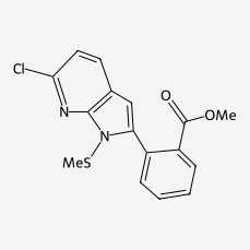 COC(=O)c1ccccc1-c1cc2ccc(Cl)nc2n1SC